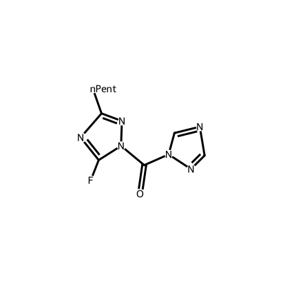 CCCCCc1nc(F)n(C(=O)n2cncn2)n1